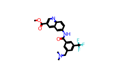 COC(=O)c1cnc2ccc(NC(=O)c3cc(CN(C)C)cc(C(F)(F)F)c3)cc2c1